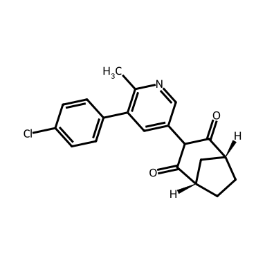 Cc1ncc(C2C(=O)[C@@H]3CC[C@@H](C3)C2=O)cc1-c1ccc(Cl)cc1